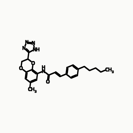 CCCCCc1ccc(C=CC(=O)Nc2cc(C)cc3c2OC(c2nnn[nH]2)CO3)cc1